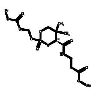 CC(C)OC(=O)OCOP1(=O)OCC(C)(C)[C@H](C(=O)NCCC(=O)OC(C)(C)C)O1